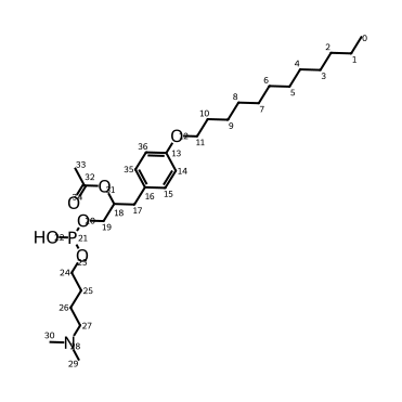 CCCCCCCCCCCCOc1ccc(CC(COP(O)OCCCCN(C)C)OC(C)=O)cc1